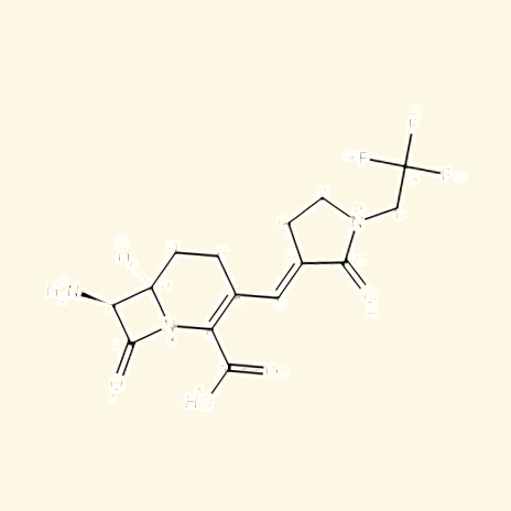 N[C@@H]1C(=O)N2C(C(=O)O)=C(C=C3CCN(CC(F)(F)F)C3=O)CC[C@H]12